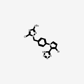 CCCCc1nc(Cl)n(Cc2ccc(-n3ccc(Br)c3-c3nnn[nH]3)cc2)n1